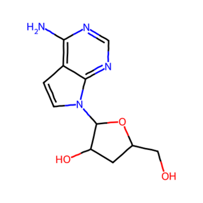 Nc1ncnc2c1ccn2C1OC(CO)CC1O